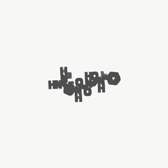 C[C@@H](NC(=O)CNC(=O)C(=O)Nc1ccc(C(=N)N)s1)c1ccccc1